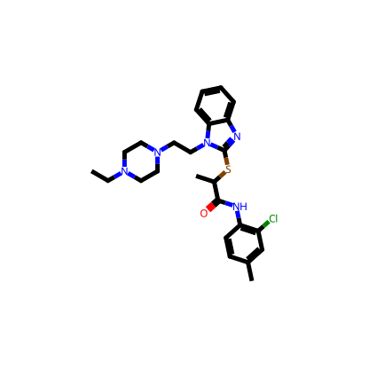 CCN1CCN(CCn2c(SC(C)C(=O)Nc3ccc(C)cc3Cl)nc3ccccc32)CC1